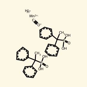 CC(c1ccccc1)(c1ccccc1)P(=O)(O)O.CC(c1ccccc1)(c1ccccc1)P(=O)(O)O.[C-]#[O+].[H+].[H+].[Mn+2]